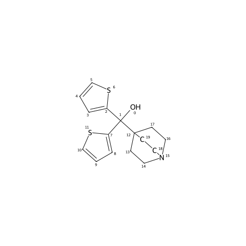 OC(c1cccs1)(c1cccs1)C12CCN(CC1)CC2